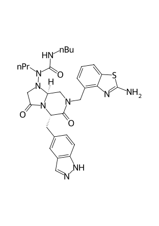 CCCCNC(=O)N(CCC)N1CC(=O)N2[C@@H](Cc3ccc4[nH]ncc4c3)C(=O)N(Cc3cccc4sc(N)nc34)C[C@@H]21